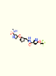 CNC(=O)c1cc(Oc2cccc(CCNC(=O)c3ccc(OCC(F)(F)F)nc3)c2)ccn1